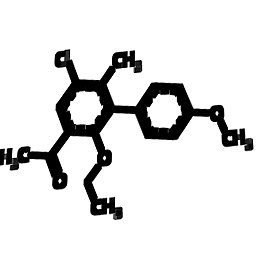 CCOc1c(C(C)=O)cc(Cl)c(C)c1-c1ccc(OC)cc1